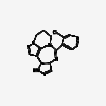 Clc1ccccc1C1=Nc2cn[nH]c2-c2cnn3c2N1CCC3